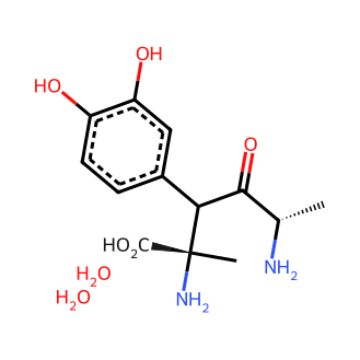 C[C@H](N)C(=O)C(c1ccc(O)c(O)c1)[C@](C)(N)C(=O)O.O.O